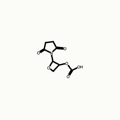 O=C(O)OC1COC1N1C(=O)CCC1=O